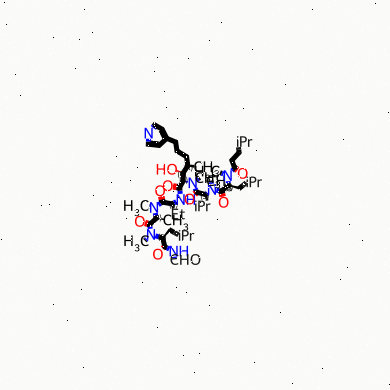 CC[C@H](NC(=O)[C@H]([C@H](O)[C@H](C)CCCc1ccncc1)N(C)C(=O)[C@H](C(C)C)N(C)C(=O)[C@H](CC(C)C)N(C)C(=O)CCC(C)C)C(=O)N(C)[C@H](C)C(=O)N(C)[C@@H](CC(C)C)C(=O)NC=O